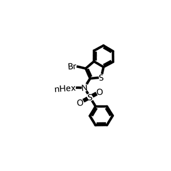 CCCCCCN(c1sc2ccccc2c1Br)S(=O)(=O)c1ccccc1